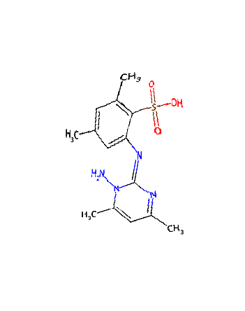 Cc1cc(C)c(S(=O)(=O)O)c(/N=c2/nc(C)cc(C)n2N)c1